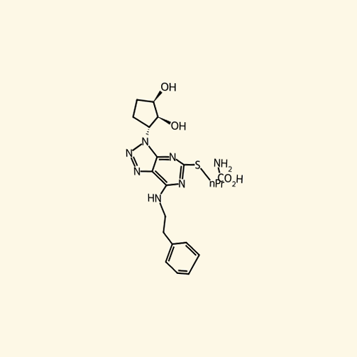 CCCSc1nc(NCCc2ccccc2)c2nnn([C@@H]3CC[C@@H](O)[C@H]3O)c2n1.NC(=O)O